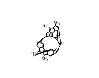 Cc1c2c(C)c3cc4c(=O)c5c(=O)c6c(=O)c(cc1c6c=2c35)/C=C\c1cc2c(C)c3c(C)c5cc(c(=O)c6c(=O)c(c1=O)c2c=3c56)/C=C\4